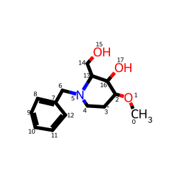 COC1[CH]CN(Cc2ccccc2)C(CO)C1O